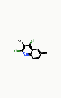 Cc1ccc2nc(Cl)c(C#N)c(Cl)c2c1